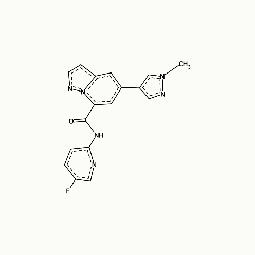 Cn1cc(-c2cc(C(=O)Nc3ccc(F)cn3)n3nccc3c2)cn1